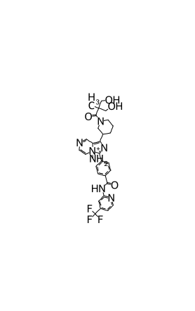 CC(CO)(CO)C(=O)N1CCCC(C2=C3C=NC=C[N+]3(N)C(c3ccc(C(=O)Nc4cc(C(F)(F)F)ccn4)cc3)=N2)C1